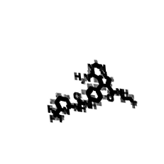 Nc1ncnn2cc(C(=O)NCCF)c(-c3ccc(NC(=O)Nc4cccc(C(F)(F)F)n4)cc3)c12